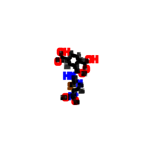 O=C(O)c1ccc(C(=O)O)c(C(=O)Nc2ncc([N+](=O)[O-])s2)c1